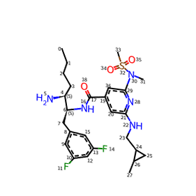 CCCC[C@H](N)[C@H](Cc1cc(F)cc(F)c1)NC(=O)c1cc(NCC2CC2C)nc(N(C)S(C)(=O)=O)c1